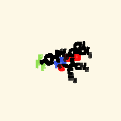 C=C(C(=O)OC(C)(C)C)C(C)c1nc(C2(c3ccc(C(F)(F)F)cc3)CC2)no1